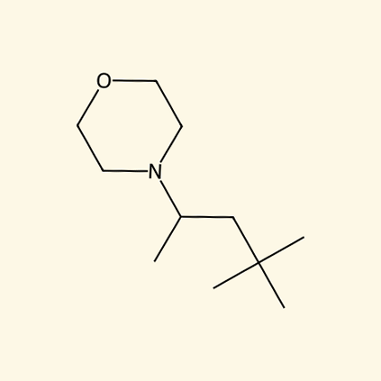 CC(CC(C)(C)C)N1CCOCC1